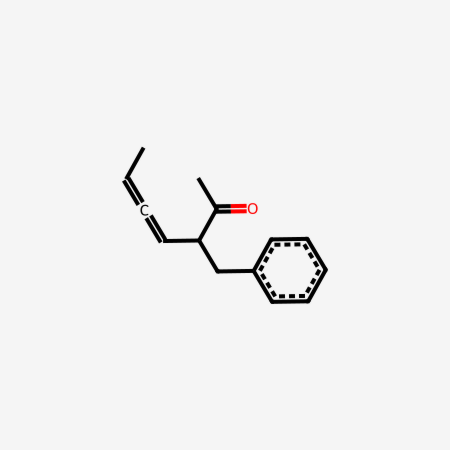 CC=C=CC(Cc1ccccc1)C(C)=O